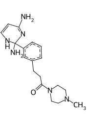 CN1CCN(C(=O)CCc2cccc(C3(N)N=C(N)C=CN3)c2)CC1